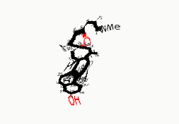 CNC[C@@H](C)C[C@@H]1C[C@@H](C)[C@@]2(CC[C@@H]3C(=C(C)C2)C[C@H]2[C@H]3CC=C3C[C@@H](O)CC[C@@]32C)O1